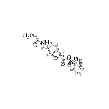 C=CC(=O)NCc1ccc2cc(C(=O)OS(=O)(=O)c3ccccc3F)oc2c1